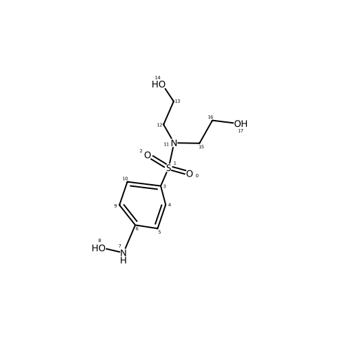 O=S(=O)(c1ccc(NO)cc1)N(CCO)CCO